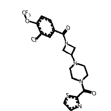 O=C(c1ccc(OC(F)(F)F)c(Cl)c1)N1CC(N2CCN(C(=O)c3nccs3)CC2)C1